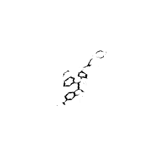 COC(=O)c1ccc2c(c1)NC(=O)/C2=C(\Nc1ccc(N(C)C(=O)CN2CCN(C)CC2)cc1)c1ccc2c(c1)OCCO2